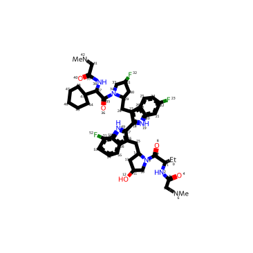 CCC(NC(=O)CNC)C(=O)N1CC(O)CC1Cc1c(-c2[nH]c3cc(F)ccc3c2CC2CC(F)CN2C(=O)C(NC(=O)CNC)C2CCCCC2)[nH]c2c(F)cccc12